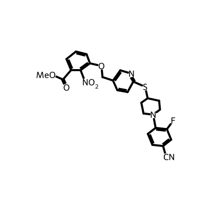 COC(=O)c1cccc(OCc2ccc(SC3CCN(c4ccc(C#N)cc4F)CC3)nc2)c1[N+](=O)[O-]